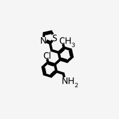 Cc1cccc(-c2c(Cl)cccc2CN)c1Cc1nccs1